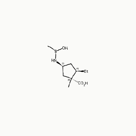 CC[C@@H]1C[C@H](NB(C)O)C[C@@]1(C)C(=O)O